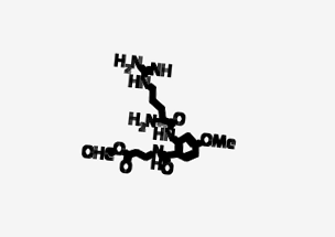 COc1ccc(C(=O)NCCC(=O)OC=O)c(NC(=O)[C@@H](N)CCCNC(=N)N)c1